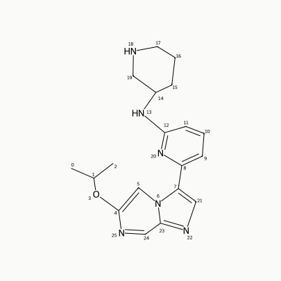 CC(C)Oc1cn2c(-c3cccc(NC4CCCNC4)n3)cnc2cn1